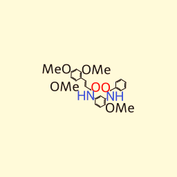 COc1cc(OC)c(C=CC(=O)Nc2ccc(OC)c(NC(=O)c3ccccc3)c2)c(OC)c1